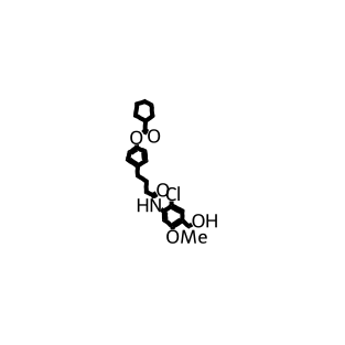 COc1cc(NC(=O)CCCc2ccc(OC(=O)C3CCCCC3)cc2)c(Cl)cc1CO